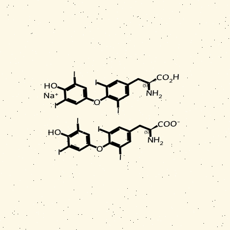 N[C@@H](Cc1cc(I)c(Oc2cc(I)c(O)c(I)c2)c(I)c1)C(=O)O.N[C@@H](Cc1cc(I)c(Oc2cc(I)c(O)c(I)c2)c(I)c1)C(=O)[O-].[Na+]